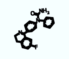 NC(=O)N(c1ccccc1)c1ccc(C2=NCCc3ccc(F)cc32)cc1